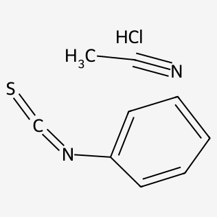 CC#N.Cl.S=C=Nc1ccccc1